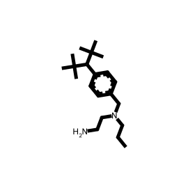 CCCN(CCN)Cc1ccc(C(C(C)(C)C)C(C)(C)C)cc1